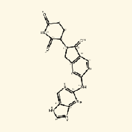 O=C1CCC(N2Cc3cc(Nc4ncc5[nH]cnc5n4)ccc3C2=O)C(=O)N1